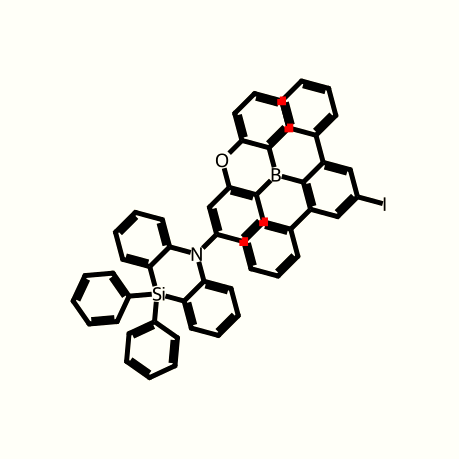 Ic1cc(-c2ccccc2)c(B2c3ccccc3Oc3cc(N4c5ccccc5[Si](c5ccccc5)(c5ccccc5)c5ccccc54)ccc32)c(-c2ccccc2)c1